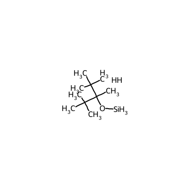 CC(C)(C)C(C)(O[SiH3])C(C)(C)C.[HH]